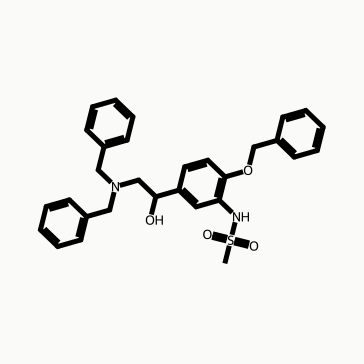 CS(=O)(=O)Nc1cc(C(O)CN(Cc2ccccc2)Cc2ccccc2)ccc1OCc1ccccc1